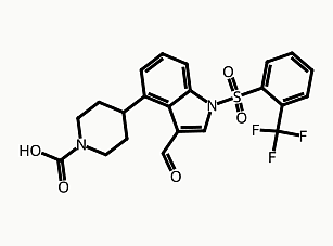 O=Cc1cn(S(=O)(=O)c2ccccc2C(F)(F)F)c2cccc(C3CCN(C(=O)O)CC3)c12